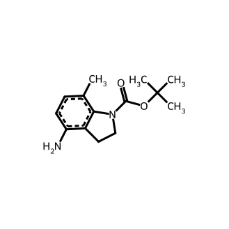 Cc1ccc(N)c2c1N(C(=O)OC(C)(C)C)CC2